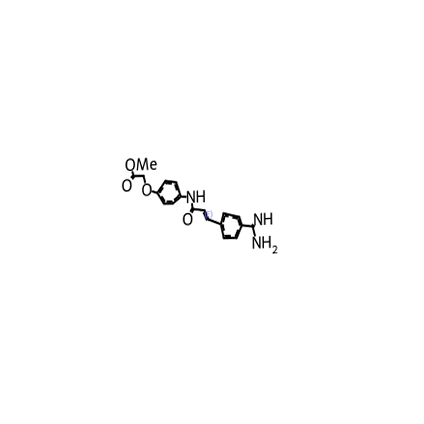 COC(=O)COc1ccc(NC(=O)/C=C/c2ccc(C(=N)N)cc2)cc1